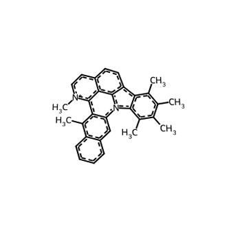 Cc1c(C)c(C)c2c(c1C)c1ccc3cc[n+](C)c4c5c(C)c6ccccc6cc5n2c1c34